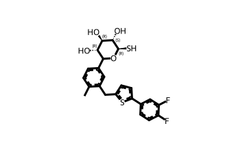 Cc1ccc(C2O[C@H](S)[C@@H](O)[C@H](O)[C@H]2O)cc1Cc1ccc(-c2ccc(F)c(F)c2)s1